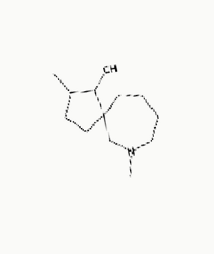 CC1CCC2(CCCCN(C)C2)C1O